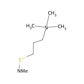 CNSCCC[Si](C)(C)C